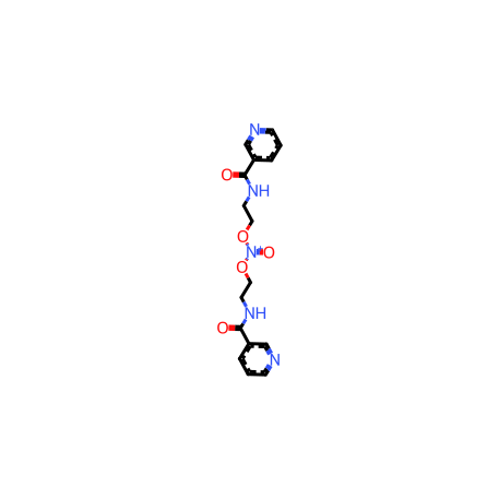 O=C(NCCO[N+](=O)OCCNC(=O)c1cccnc1)c1cccnc1